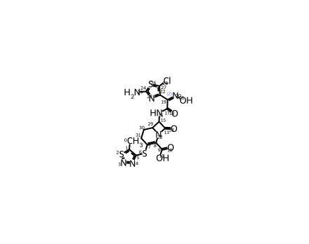 Cc1snnc1SC1=C(C(=O)O)N2C(=O)C(NC(=O)/C(=N\O)c3nc(N)sc3Cl)C2CC1